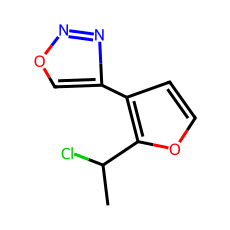 CC(Cl)c1occc1-c1conn1